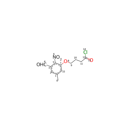 Cc1cc(C=O)c([N+](=O)[O-])c(OCCCC(=O)Cl)c1